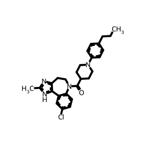 CCCc1ccc(N2CCC(C(=O)N3CCc4nc(C)[nH]c4-c4cc(Cl)ccc43)CC2)cc1